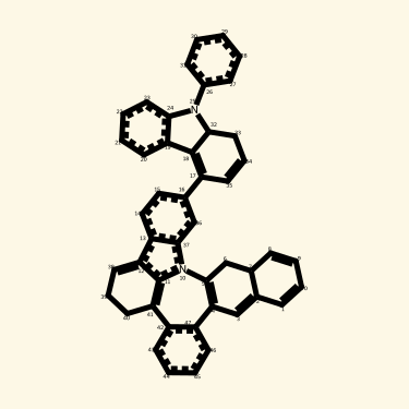 C1=CC2=CC3=C(CC2C=C1)n1c2c(c4ccc(C5=C6c7ccccc7N(c7ccccc7)C6CC=C5)cc41)=CCCC=2c1ccccc13